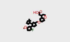 COc1ccc(F)c(-c2ccc(COc3ccc4c(c3)C(CC(=O)O)CCO4)cc2C2=CCCC2(C)C)c1